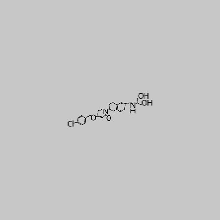 O=c1cc(OCc2ccc(Cl)cc2)ccn1C1=Cc2ccc(CNC(CO)CO)cc2CC1